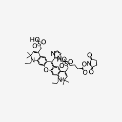 CCN1c2cc3c(cc2C(CS(=O)(=O)O)=CC1(C)C)C(c1nccn1CCCCCC(=O)ON1C(=O)CCC1=O)=c1cc2c(cc1O3)=[N+](CC)C(C)(C)C=C2CS(=O)(=O)O